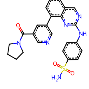 NS(=O)(=O)c1ccc(Nc2ncc3cccc(-c4cncc(C(=O)N5CCCC5)c4)c3n2)cc1